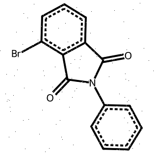 O=C1c2cccc(Br)c2C(=O)N1c1ccccc1